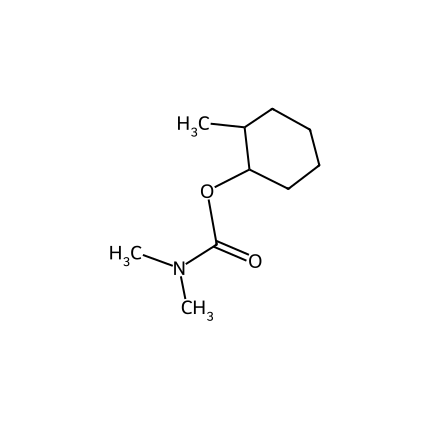 CC1CCCCC1OC(=O)N(C)C